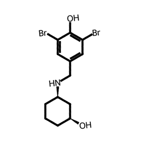 Oc1c(Br)cc(CN[C@@H]2CCC[C@H](O)C2)cc1Br